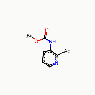 CC(=O)c1ncccc1NC(=O)OC(C)(C)C